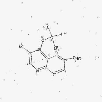 N#Cc1cnc2ccc(C=O)cc2c1OC(I)(C(F)(F)F)C(F)(F)F